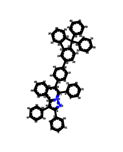 c1ccc(-c2nn3c(-c4ccccc4)c(-c4ccc(-c5ccc6c(c5)-c5ccccc5C6(c5ccccc5)c5ccccc5)cc4)c4ccccc4c3c2-c2ccccc2)cc1